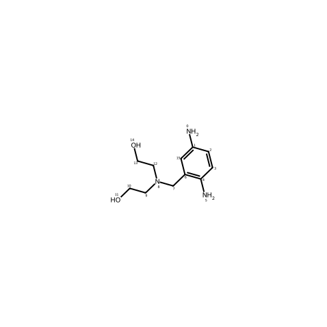 Nc1ccc(N)c(CN(CCO)CCO)c1